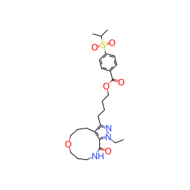 CCn1nc(CCCCOC(=O)c2ccc(S(=O)(=O)C(C)C)cc2)c2c1C(=O)NCCCOCCC2